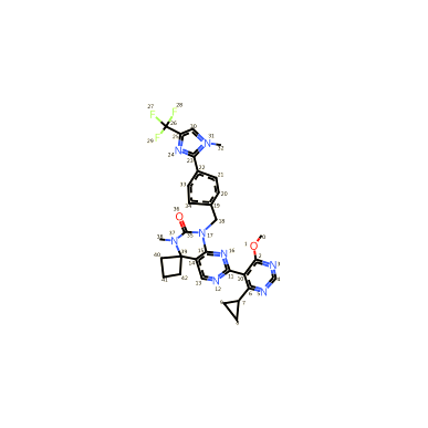 COc1ncnc(C2CC2)c1-c1ncc2c(n1)N(Cc1ccc(-c3nc(C(F)(F)F)cn3C)cc1)C(=O)N(C)C21CCC1